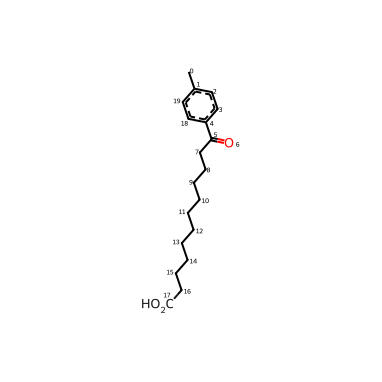 Cc1ccc(C(=O)CCCCCCCCCCC(=O)O)cc1